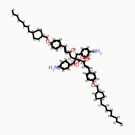 CCCCCCCCC1CCC(COc2ccc(/C=C/C(=O)CC(Cc3ccc(N)cc3)(Cc3ccc(N)cc3)C(O)(O)C(=O)/C=C/c3ccc(OCC4CCC(CCCCCCCC)CC4)cc3)cc2)CC1